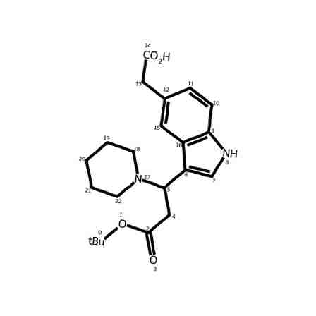 CC(C)(C)OC(=O)CC(c1c[nH]c2ccc(CC(=O)O)cc12)N1CCCCC1